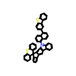 c1ccc2c(c1)Sc1ccccc1C21c2ccccc2-c2cc3c4ccccc4n(-c4cccc5c(-c6ccc7sc8ccccc8c7c6)cccc45)c3cc21